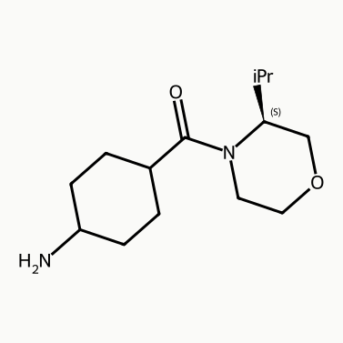 CC(C)[C@H]1COCCN1C(=O)C1CCC(N)CC1